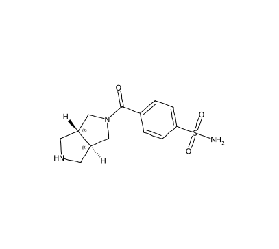 NS(=O)(=O)c1ccc(C(=O)N2C[C@H]3CNC[C@@H]3C2)cc1